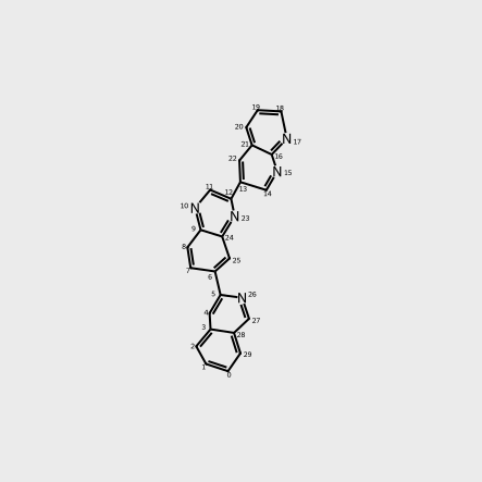 c1ccc2cc(-c3ccc4ncc(-c5cnc6ncccc6c5)nc4c3)ncc2c1